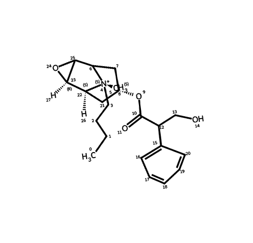 CCCC[N@@+]1(C)C2C[C@H](OC(=O)C(CO)c3ccccc3)C[C@H]1[C@H]1OC21